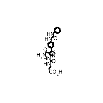 NC(=O)c1c(NC(=O)NCCC(=O)O)nsc1-c1ccc(NC(=O)Nc2ccccc2)cc1